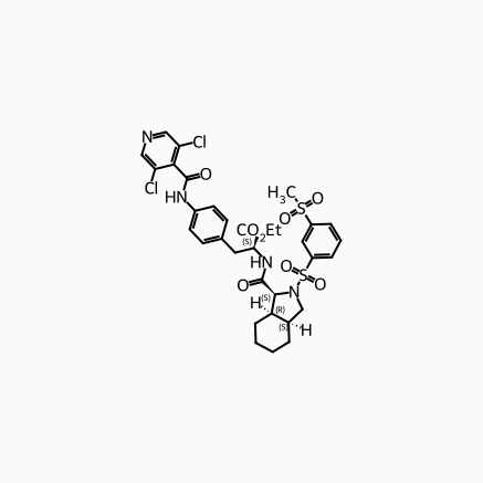 CCOC(=O)[C@H](Cc1ccc(NC(=O)c2c(Cl)cncc2Cl)cc1)NC(=O)[C@@H]1[C@@H]2CCCC[C@@H]2CN1S(=O)(=O)c1cccc(S(C)(=O)=O)c1